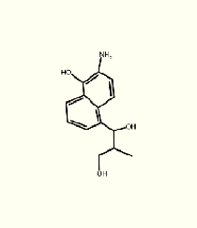 CC(CO)C(O)c1cccc2c(O)c(N)ccc12